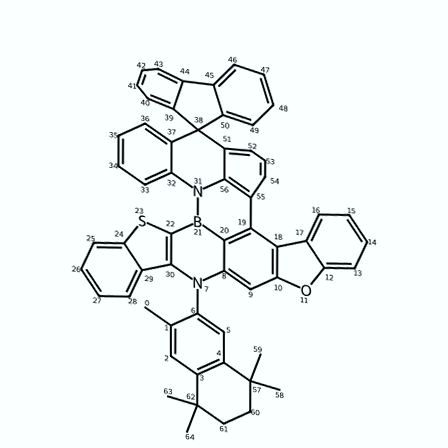 Cc1cc2c(cc1N1c3cc4oc5ccccc5c4c4c3B(c3sc5ccccc5c31)N1c3ccccc3C3(c5ccccc5-c5ccccc53)c3cccc-4c31)C(C)(C)CCC2(C)C